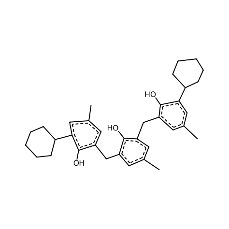 Cc1cc(Cc2cc(C)cc(C3CCCCC3)c2O)c(O)c(Cc2cc(C)cc(C3CCCCC3)c2O)c1